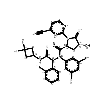 N#Cc1ccnc(N2C(=O)[C@H](O)C[C@H]2C(=O)N(c2cc(F)cc(F)c2)[C@H](C(=O)NC2CC(F)(F)C2)c2ccccc2I)n1